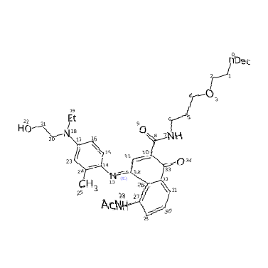 CCCCCCCCCCCCOCCCNC(=O)C1=C/C(=N\c2ccc(N(CC)CCO)cc2C)c2c(NC(C)=O)cccc2C1=O